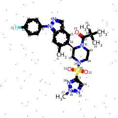 Cc1cc2c(cnn2-c2ccc(F)cc2)cc1[C@@H]1CN(S(=O)(=O)c2cnn(C)n2)CCN1C(=O)C(C)(C)C